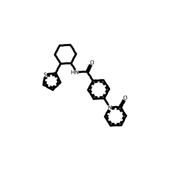 O=C(NC1CCCCC1c1cccs1)c1ccc(-n2ccccc2=O)cc1